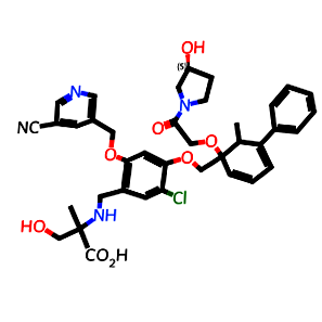 CC1C(c2ccccc2)=CC=CC1(COc1cc(OCc2cncc(C#N)c2)c(CNC(C)(CO)C(=O)O)cc1Cl)OCC(=O)N1CC[C@H](O)C1